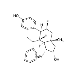 CCC[C@@H]1[C@H]2[C@H]3[C@@H](c4ccc(O)cc4C[C@H]3c3ccccc3)[C@@H](F)C[C@]2(C)C[C@@H]1O